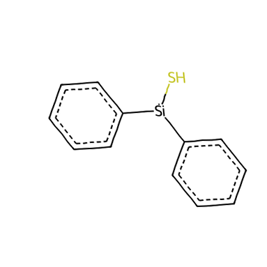 S[Si](c1ccccc1)c1ccccc1